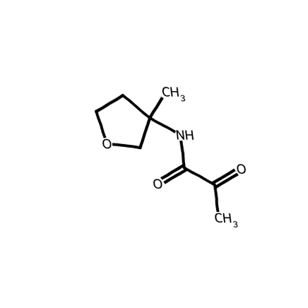 CC(=O)C(=O)NC1(C)CCOC1